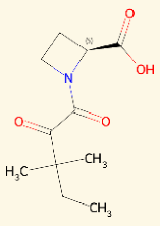 CCC(C)(C)C(=O)C(=O)N1CC[C@H]1C(=O)O